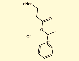 CCCCCCCCCCCC(=O)OC(C)[n+]1ccccc1.[Cl-]